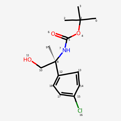 CC(C)(C)OC(=O)N[C@](C)(CO)c1ccc(Cl)cc1